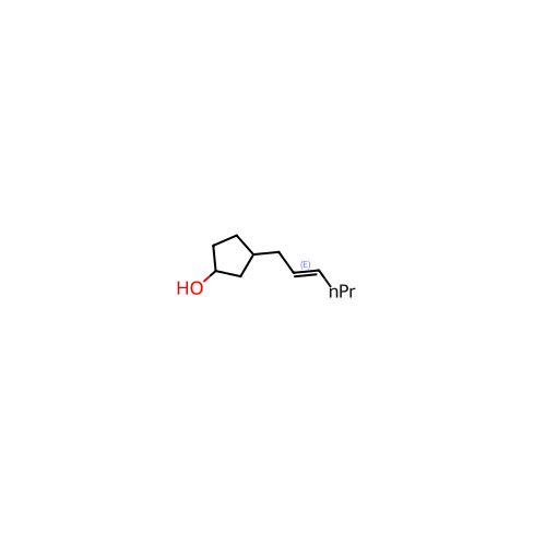 CCC/C=C/CC1CCC(O)C1